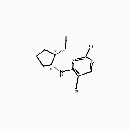 CC[C@H]1CCC[C@H]1Nc1nc(Cl)ncc1Br